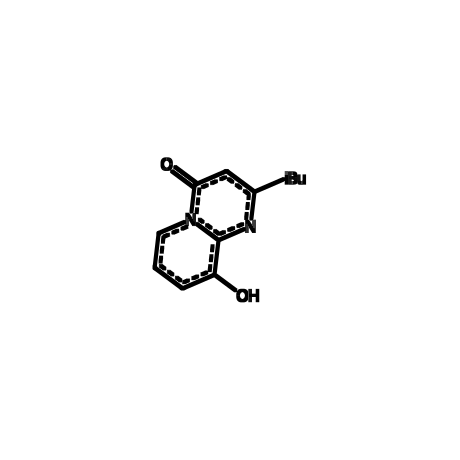 CCC(C)c1cc(=O)n2cccc(O)c2n1